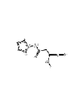 COC(=C=O)CC(=O)Nn1cccn1